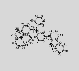 c1ccc(N(c2cccc(-c3cccc4c3sc3ccccc34)c2)c2ccc3ccc4cccc5ccc2c3c45)cc1